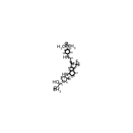 COCC(O)CN1CCC(Nc2cccc3c(CC(F)(F)F)c(C#CCNc4ccc(P(C)(C)=O)cc4)sc23)C(F)C1